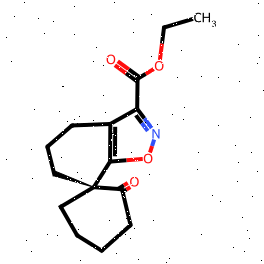 CCOC(=O)c1noc2c1CCC[C@@]21CCCCC1=O